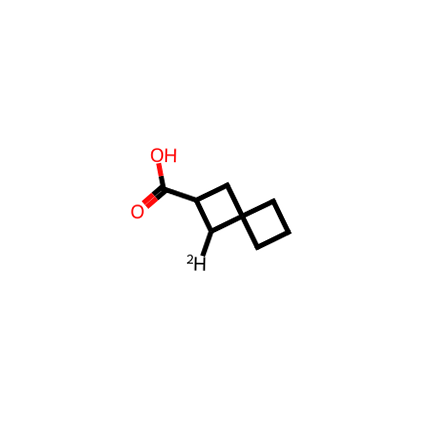 [2H]C1C(C(=O)O)CC12CCC2